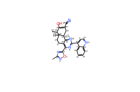 Cc1noc(-c2nc(-c3ccnc4ccccc34)nc3c2CC[C@@H]2[C@@H](C)C(O)=C(C#N)C[C@@]32C)n1